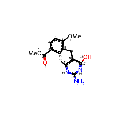 COC(=O)c1ccc(OC)c(Cc2c(C)nc(N)nc2O)c1